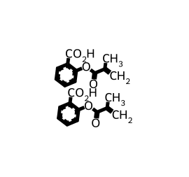 C=C(C)C(=O)Oc1ccccc1C(=O)O.C=C(C)C(=O)Oc1ccccc1C(=O)O